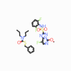 CCCN(CCC)C(=O)SCc1ccccc1.COc1ncc(F)c2nc(S(=O)(=O)Nc3c(F)cccc3F)nn12